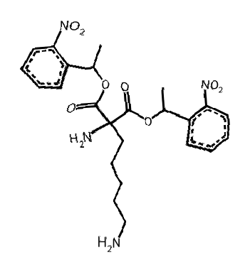 CC(OC(=O)C(N)(CCCCCN)C(=O)OC(C)c1ccccc1[N+](=O)[O-])c1ccccc1[N+](=O)[O-]